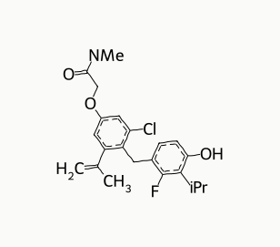 C=C(C)c1cc(OCC(=O)NC)cc(Cl)c1Cc1ccc(O)c(C(C)C)c1F